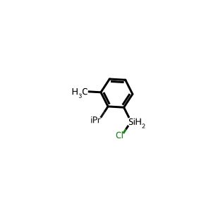 Cc1cccc([SiH2]Cl)c1C(C)C